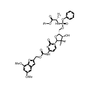 COc1cc(OC)c2oc(COC(=O)Nc3ccn(C4O[C@H](COP(=O)(N[C@@H](C)C(=O)OC(C)C)Oc5ccccc5)[C@@H](O)C4(F)F)c(=O)n3)cc2c1